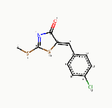 CSC1=NC(=O)/C(=C/c2ccc(Cl)cc2)S1